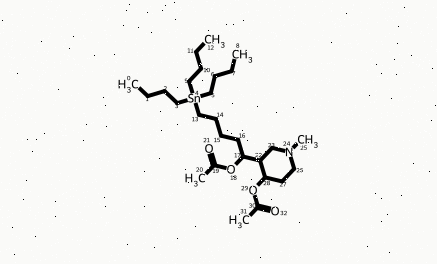 CCC[CH2][Sn]([CH2]CCC)([CH2]CCC)[CH2]CCCC(OC(C)=O)C1CN(C)CCC1OC(C)=O